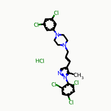 Cc1c(C=CCN2CCN(c3cc(Cl)cc(Cl)c3)CC2)cnn1-c1c(Cl)cc(Cl)cc1Cl.Cl